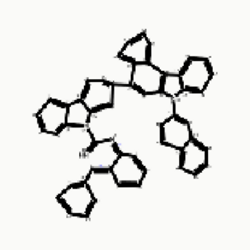 N=C(/N=C1/C=CC=C/C1=C\c1ccccc1)n1c2ccccc2c2ccc(-c3cc4c(c5ccccc35)c3ccccc3n4-c3ccc4ccccc4c3)cc21